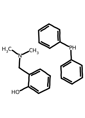 CN(C)Cc1ccccc1O.c1ccc(Pc2ccccc2)cc1